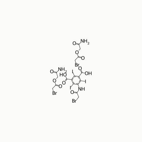 NC(=O)COC(=O)CBr.NC(=O)COC(=O)CBr.O=C(CBr)Nc1c(I)c(C(=O)O)c(I)c(C(=O)O)c1I